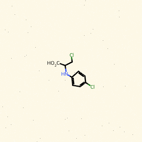 O=C(O)C(CCl)Nc1ccc(Cl)cc1